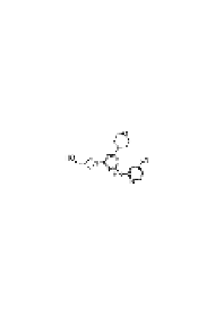 N#Cc1ccnc(Nc2cc(C3CCOCC3)cc(N3CC(CO)C3)n2)c1